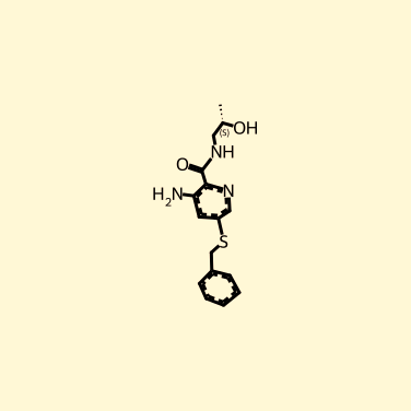 C[C@H](O)CNC(=O)c1ncc(SCc2ccccc2)cc1N